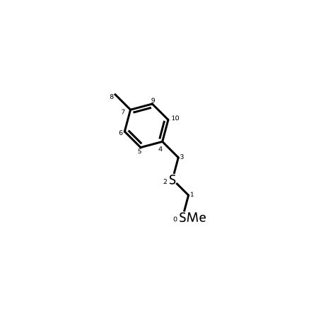 CSCSCc1ccc(C)cc1